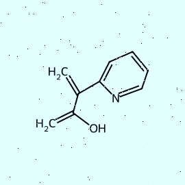 C=C(O)C(=C)c1ccccn1